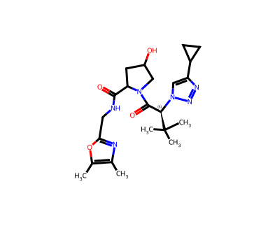 Cc1nc(CNC(=O)C2CC(O)CN2C(=O)[C@@H](n2cc(C3CC3)nn2)C(C)(C)C)oc1C